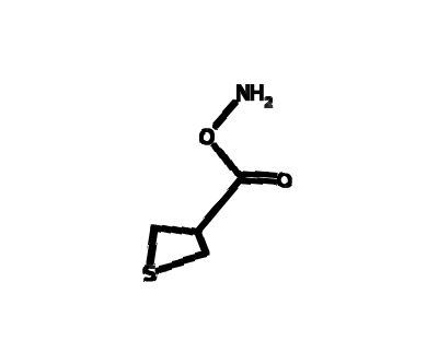 NOC(=O)C1CSC1